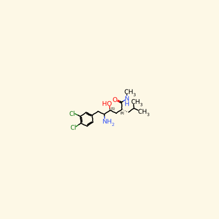 CNC(=O)[C@H](CC(C)C)C[C@H](O)C(N)Cc1ccc(Cl)c(Cl)c1